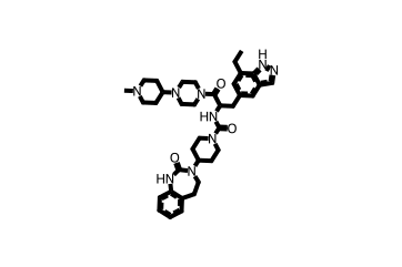 CCc1cc(CC(NC(=O)N2CCC(N3CCc4ccccc4NC3=O)CC2)C(=O)N2CCN(C3CCN(C)CC3)CC2)cc2cn[nH]c12